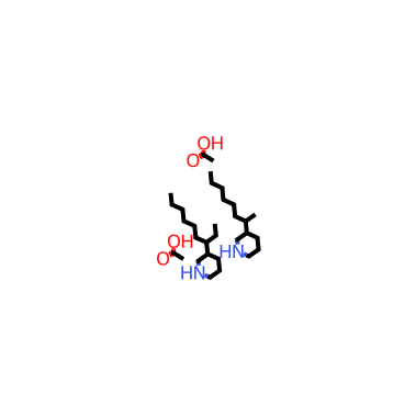 CC(=O)O.CC(=O)O.CCCCCCC(C)C1CCCNC1.CCCCCCC(CC)C1CCCNC1